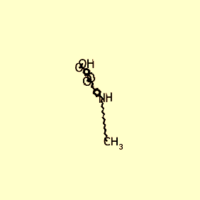 CCCCCCCCCCCCCCCCNc1ccc(C=CC(=O)Oc2ccc(C(=O)O)cc2)cc1